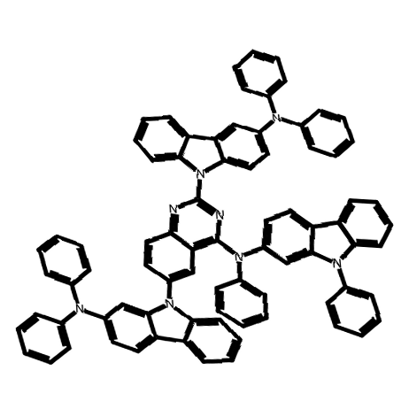 c1ccc(N(c2ccccc2)c2ccc3c(c2)c2ccccc2n3-c2nc(N(c3ccccc3)c3ccc4c5ccccc5n(-c5ccccc5)c4c3)c3cc(-n4c5ccccc5c5ccc(N(c6ccccc6)c6ccccc6)cc54)ccc3n2)cc1